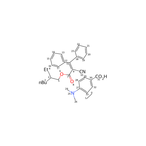 CC.CCCCC(CC)COC(=O)C(C#N)=C(c1ccccc1)c1ccccc1.CN(C)c1ccc(C(=O)O)cc1